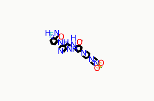 COc1cc(N2CCC(N3CCN(S(C)(=O)=O)CC3)CC2)ccc1Nc1cc2c(Nc3cccc(F)c3C(N)=O)cncc2[nH]1